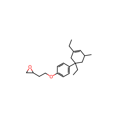 CCC1=CC(C)CC(CC)(c2ccc(OCCC3CO3)cc2)C1